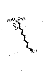 C#CCCCCCCCC[Si](OCC)(OCC)OCC